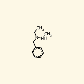 CCN(Cc1ccccc1)NC